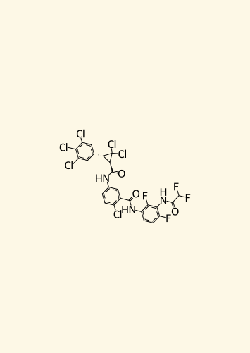 O=C(Nc1ccc(F)c(NC(=O)C(F)F)c1F)c1cc(NC(=O)[C@H]2[C@H](c3cc(Cl)c(Cl)c(Cl)c3)C2(Cl)Cl)ccc1Cl